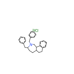 Cl.c1ccc(CC2CCC3CCc4ccccc4C3CN2Cc2ccccc2)cc1